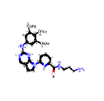 COc1cc(Nc2ncc3ccn(-c4cccc(C(=O)NCCCN)n4)c3n2)cc(OC)c1OC